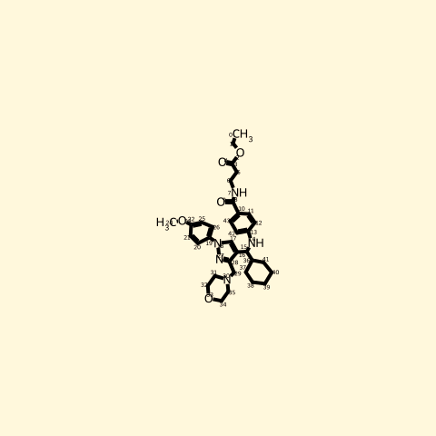 CCOC(=O)CCNC(=O)c1ccc(NC(c2cn(-c3ccc(OC)cc3)nc2CN2CCOCC2)C2CCCCC2)cc1